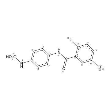 O=C(O)Nc1ccc(NC(=O)c2cc(C(F)(F)F)ccc2F)cc1